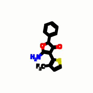 NC1=C(c2sccc2C(F)(F)F)C(=O)C(c2ccccc2)O1